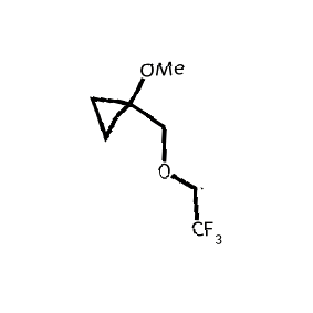 COC1(CO[CH]C(F)(F)F)CC1